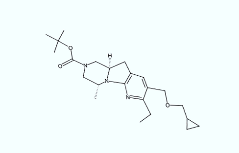 CCc1nc2c(cc1COCC1CC1)C[C@@H]1CN(C(=O)OC(C)(C)C)C[C@@H](C)N21